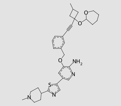 CC1CC(C#Cc2cccc(COc3cc(-c4cnc(C5CCN(C)CC5)s4)cnc3N)c2)(OC2CCCCO2)C1